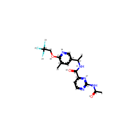 CC(=O)Nc1nccc(C(=O)NC(C)c2cnc(OCC(F)(F)F)c(C)c2)n1